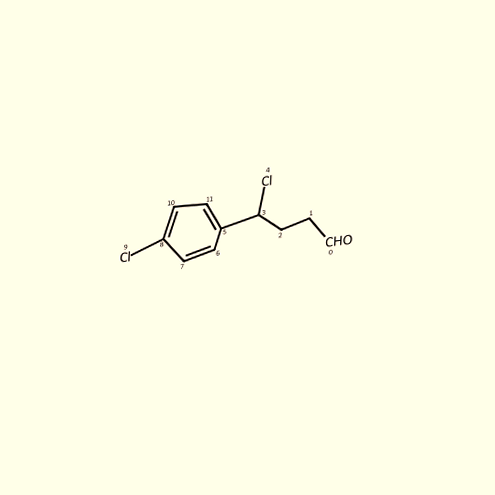 O=CCCC(Cl)c1ccc(Cl)cc1